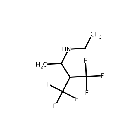 CCNC(C)C(C(F)(F)F)C(F)(F)F